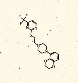 FC(F)(F)c1ccnc(SCCN2CCN(c3cccc4c3OCCO4)CC2)n1